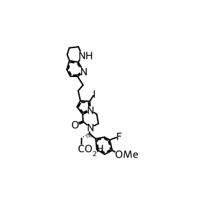 COc1ccc([C@H](CC(=O)O)N2CCn3c(cc(CCc4ccc5c(n4)NCCC5)c3I)C2=O)cc1F